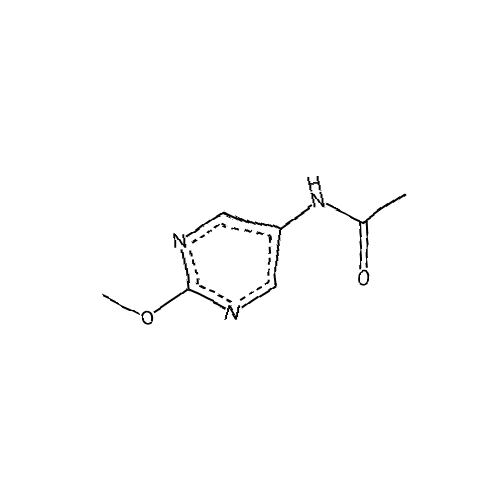 COc1ncc(NC(C)=O)cn1